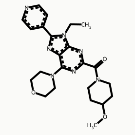 CCn1c(-c2ccncc2)nc2c(N3CCOCC3)nc(C(=O)N3CCC(OC)CC3)nc21